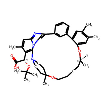 Cc1cc2c(cc1C)-c1cccc(c1)-c1cn3c(c([C@H](OC(C)(C)C)C(=O)O)c(C)cc3n1)N1CCC(C)(CC1)OCCCC[C@H](C)O2